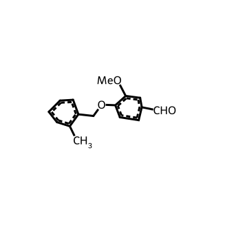 COc1cc(C=O)ccc1OCc1ccccc1C